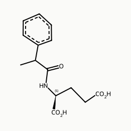 CC(C(=O)N[C@@H](CCC(=O)O)C(=O)O)c1ccccc1